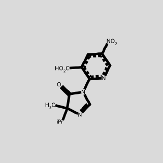 CC(C)C1(C)N=CN(c2ncc([N+](=O)[O-])cc2C(=O)O)C1=O